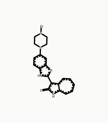 CCN1CCN(c2ccc3[nH]c(-c4c5cccccc-5[nH]c4=O)nc3c2)CC1